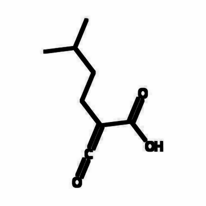 CC(C)CCC(=C=O)C(=O)O